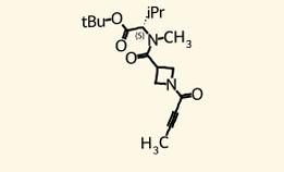 CC#CC(=O)N1CC(C(=O)N(C)[C@H](C(=O)OC(C)(C)C)C(C)C)C1